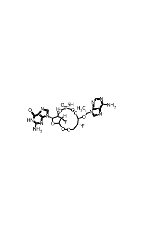 C[C@@H](O[C@@H]1COP(=O)(S)O[C@@H]2[C@H](F)C(OCC[C@H]1F)O[C@H]2n1cnc2c(=O)[nH]c(N)nc21)n1cnc2c(N)ncnc21